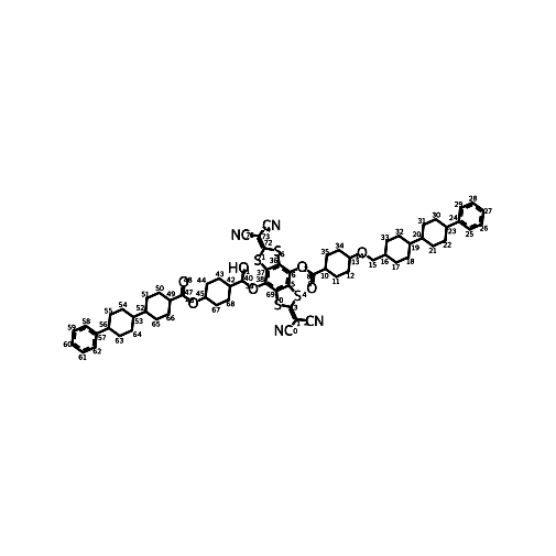 N#CC(C#N)=C1Sc2c(OC(=O)C3CCC(OCC4CCC(C5CCC(c6ccccc6)CC5)CC4)CC3)c3c(c(OC(O)C4CCC(OC(=O)C5CCC(C6CCC(c7ccccc7)CC6)CC5)CC4)c2S1)SC(=C(C#N)C#N)S3